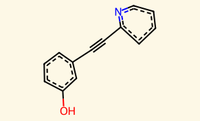 Oc1cccc(C#Cc2ccccn2)c1